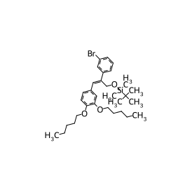 CCCCCOc1ccc(/C=C(\CO[Si](C)(C)C(C)(C)C)c2cccc(Br)c2)cc1OCCCCC